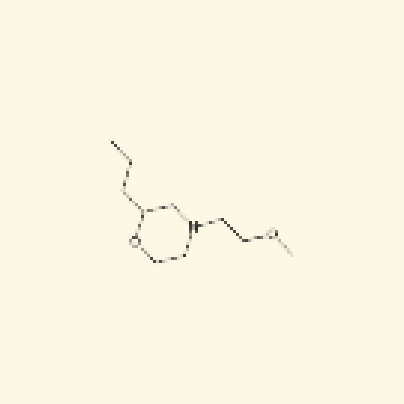 CCCC1CN(CCOC)CCO1